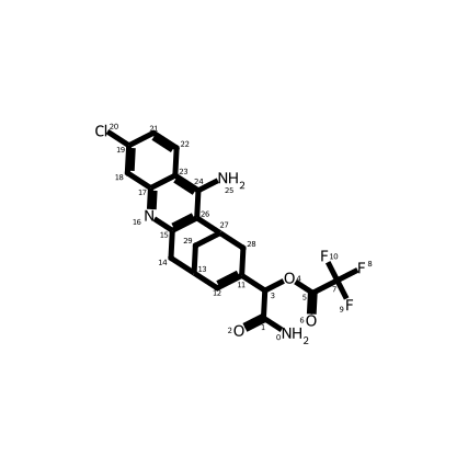 NC(=O)C(OC(=O)C(F)(F)F)C1=CC2Cc3nc4cc(Cl)ccc4c(N)c3C(C1)C2